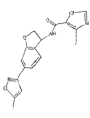 Cc1cc(-c2ccc3c(c2)OCC3NC(=O)c2ocnc2C)no1